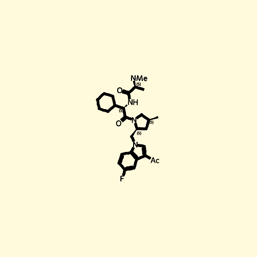 CN[C@@H](C)C(=O)N[C@H](C(=O)N1C[C@@H](C)C[C@H]1Cn1cc(C(C)=O)c2cc(F)ccc21)C1CCCCC1